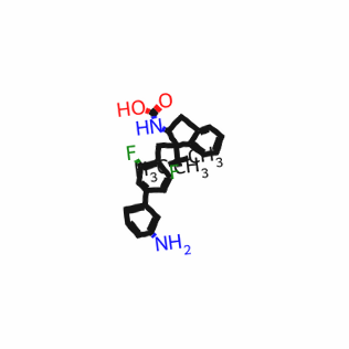 CC(C)(C)C1(Cc2c(F)cc(-c3cccc(N)c3)cc2F)c2ccccc2CC1NC(=O)O